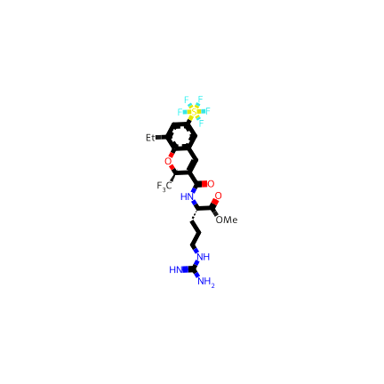 CCc1cc(S(F)(F)(F)(F)F)cc2c1O[C@H](C(F)(F)F)C(C(=O)N[C@@H](CCCNC(=N)N)C(=O)OC)=C2